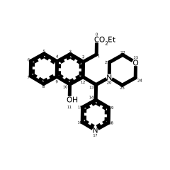 CCOC(=O)Cc1cc2ccccc2c(O)c1C(c1ccncc1)N1CCOCC1